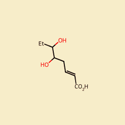 CCC(O)C(O)CC=CC(=O)O